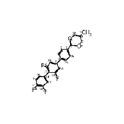 CC1COC(c2ccc(-c3cc(F)c(-c4ccc(F)c(F)c4)c(F)c3)cc2)OC1